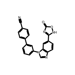 N#Cc1ccc(-c2cccc(-n3cnc4ccc(-c5nc(=O)o[nH]5)cc43)c2)cc1